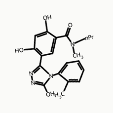 CCCN(C)C(=O)c1cc(-c2nnc(O)n2-c2ccccc2C)c(O)cc1O